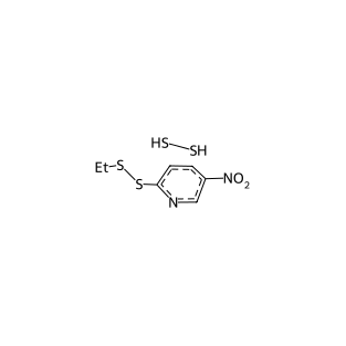 CCSSc1ccc([N+](=O)[O-])cn1.SS